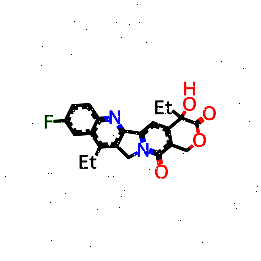 CCc1c2c(nc3ccc(F)cc13)-c1cc3c(c(=O)n1C2)COC(=O)C3(O)CC